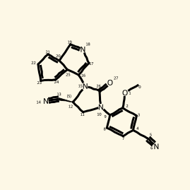 COc1cc(C#N)ccc1N1C[C@@H](C#N)N(c2cncc3ccccc23)C1=O